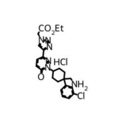 CCOC(=O)Cn1cc(-c2ccc(=O)n(C3CCC(CN)(c4cccc(Cl)c4)CC3)n2)nn1.Cl